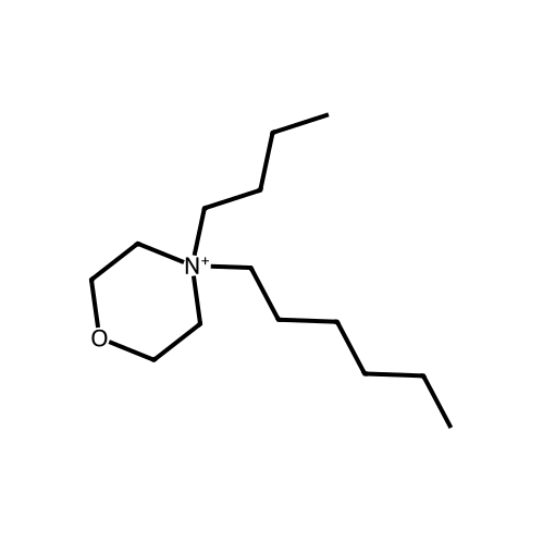 CCCCCC[N+]1(CCCC)CCOCC1